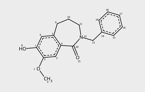 COc1cc2c(cc1O)CCCN(Cc1ccccc1)C2=O